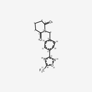 O=C1CCCC(=O)N1Cc1ccc(-c2noc(C(F)(F)F)n2)cc1